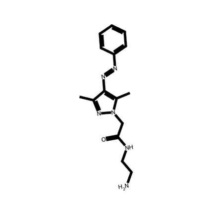 Cc1nn(CC(=O)NCCN)c(C)c1N=Nc1ccccc1